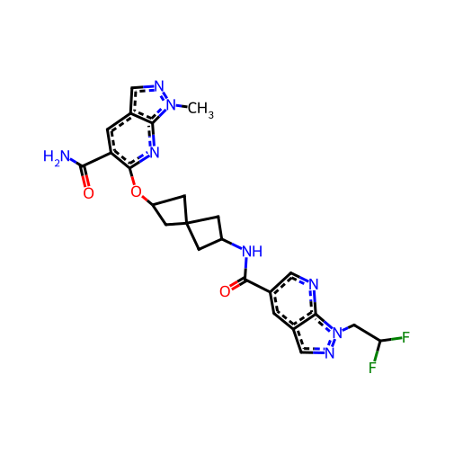 Cn1ncc2cc(C(N)=O)c(OC3CC4(CC(NC(=O)c5cnc6c(cnn6CC(F)F)c5)C4)C3)nc21